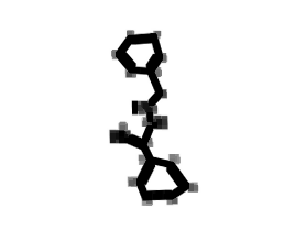 N=C(NNCc1ccccc1)c1ccccc1